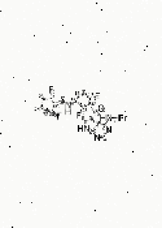 CC(C)Nc1ncnc2[nH]cc(C(=O)c3c(F)ccc(NSc4c(F)cccc4F)c3F)c12